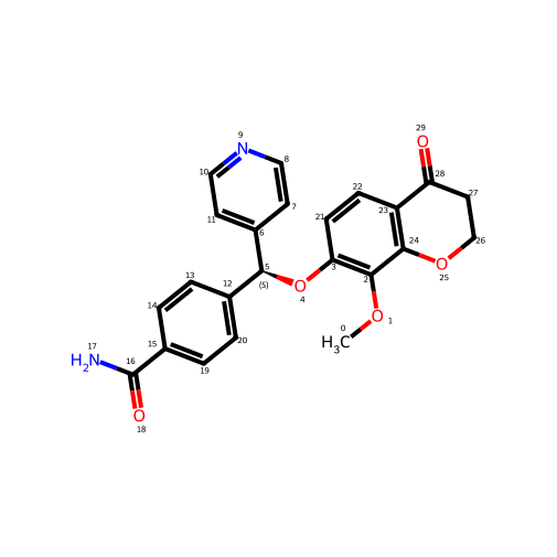 COc1c(O[C@H](c2ccncc2)c2ccc(C(N)=O)cc2)ccc2c1OCCC2=O